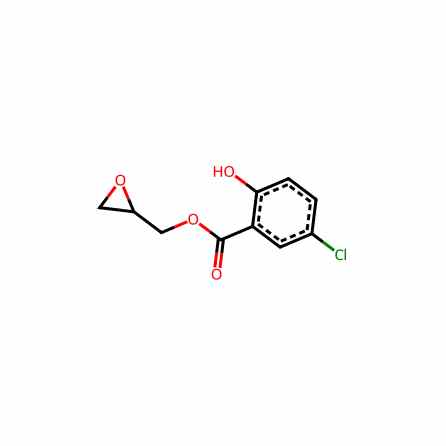 O=C(OCC1CO1)c1cc(Cl)ccc1O